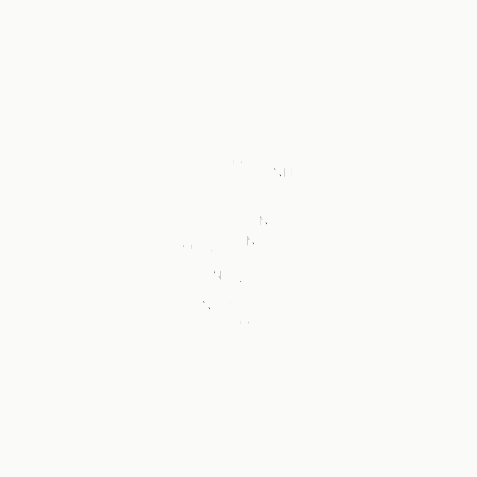 CCN1C(=O)c2cc(C(=O)NC3CCCC3)nn2CC1(C)C(=O)NC1CCCC1